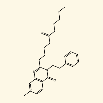 CCCCCC(=O)CCCCc1nc2cc(C)ccc2c(=O)n1CCc1ccccc1